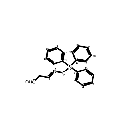 O=CCC=NO[Si](c1ccccc1)(c1ccccc1)c1ccccc1